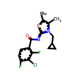 Cc1c(C(C)(C)C)s/c(=N\C(=O)c2ccc(F)c(Cl)c2F)n1CC1CC1